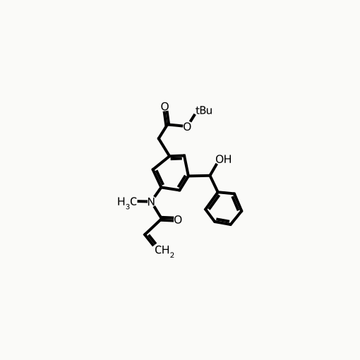 C=CC(=O)N(C)c1cc(CC(=O)OC(C)(C)C)cc(C(O)c2ccccc2)c1